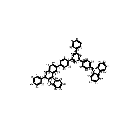 c1ccc(-c2nc(-c3ccc(-c4ccc5nc(-c6ccccc6)c6oc7ccccc7c6c5c4)cc3)nc(-c3ccc(-n4c5ccccc5c5ccccc54)cc3)n2)cc1